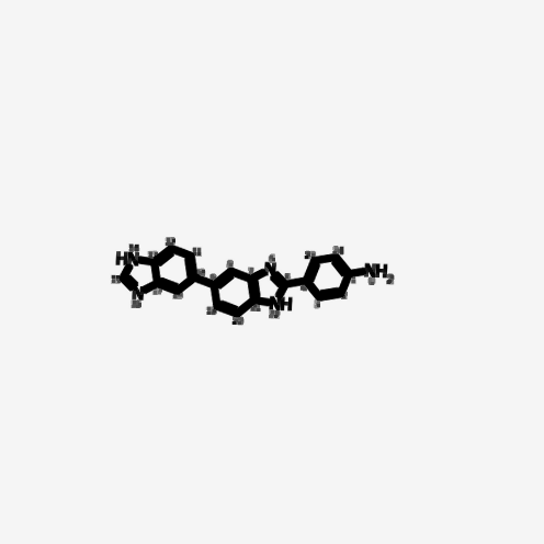 Nc1ccc(-c2nc3cc(-c4ccc5[nH]cnc5c4)ccc3[nH]2)cc1